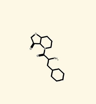 NC(CC1CCCCC1)C(=O)N1CCCC2OCC(=O)C21